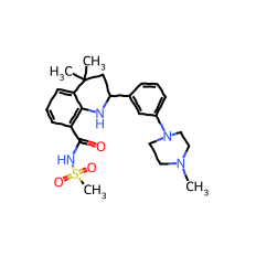 CN1CCN(c2cccc(C3CC(C)(C)c4cccc(C(=O)NS(C)(=O)=O)c4N3)c2)CC1